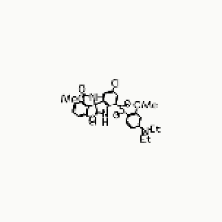 CCN(CC)c1ccc(S(=O)(=O)c2cc(Cl)cc3c2NC(=O)C3(NC(=O)OC)c2ccccc2Cl)c(OC)c1